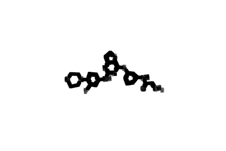 C=CC(=O)Nc1cccc(Sc2nc(Nc3ccc(N4CCOCC4)c(F)c3)nc3ccsc23)c1